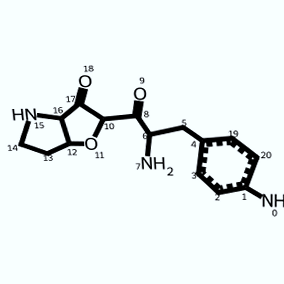 Nc1ccc(CC(N)C(=O)C2OC3CCNC3C2=O)cc1